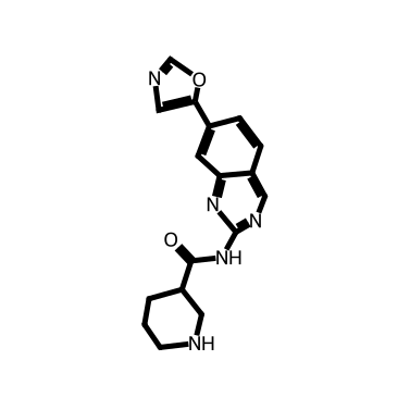 O=C(Nc1ncc2ccc(-c3cnco3)cc2n1)C1CCCNC1